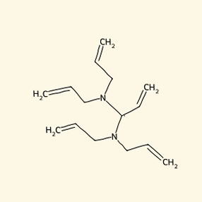 C=CCN(CC=C)[C](C=C)N(CC=C)CC=C